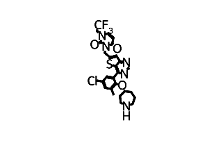 Cc1cc(Cl)cc(-c2ncnc3cc(Cn4c(=O)ccn(CC(F)(F)F)c4=O)sc23)c1O[C@H]1CCCNCC1